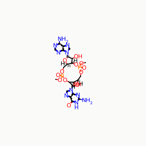 COP1(=O)OC[C@H]2O[C@@H](n3cnc4c(N)ncnc43)C(O)[C@H]2OP(=O)(OC)OC[C@H]2O[C@@H](n3cnc4c(=O)[nH]c(N)nc43)C(O1)[C@H]2O